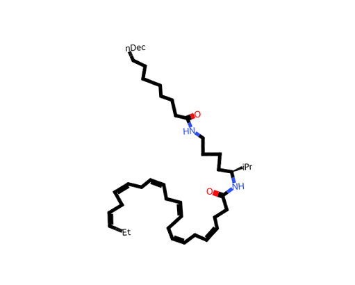 CC/C=C\C/C=C\C/C=C\C/C=C\C/C=C\C/C=C\CCC(=O)N[C@@H](CCCCNC(=O)CCCCCCCCCCCCCCCCC)C(C)C